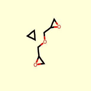 C(OCC1CO1)C1CO1.C1CC1